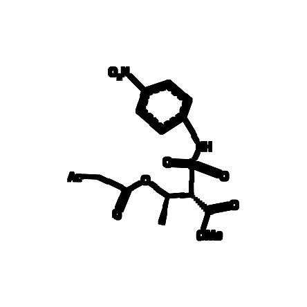 COC(=O)[C@H]([C@@H](C)OC(=O)CC(C)=O)S(=O)(=O)Nc1ccc([N+](=O)[O-])cc1